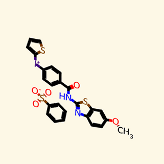 COc1ccc2nc(NC(=O)c3ccc([I+]c4cccs4)cc3)sc2c1.O=S(=O)([O-])c1ccccc1